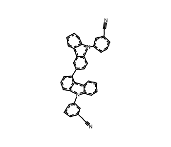 N#Cc1cccc(-n2c3ccccc3c3cc(-c4cccc5c4c4ccccc4n5-c4cccc(C#N)c4)ccc32)c1